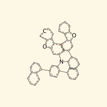 c1ccc(-c2ccc(-c3cccc4ccccc34)cc2N(c2ccc3c(c2)oc2ccccc23)c2ccccc2-c2ccc3c(c2)oc2ccccc23)cc1